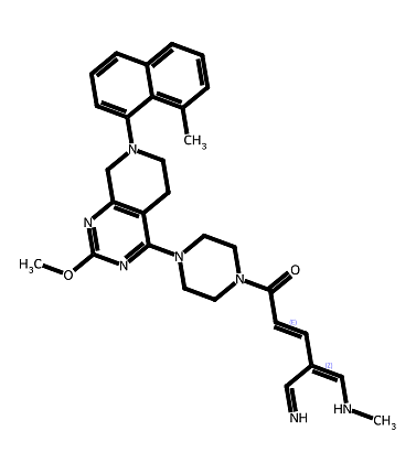 CN/C=C(C=N)/C=C/C(=O)N1CCN(c2nc(OC)nc3c2CCN(c2cccc4cccc(C)c24)C3)CC1